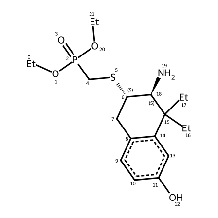 CCOP(=O)(CS[C@H]1Cc2ccc(O)cc2C(CC)(CC)[C@@H]1N)OCC